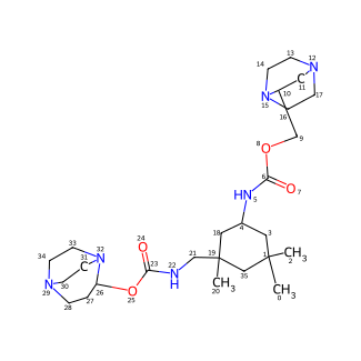 CC1(C)CC(NC(=O)OCC2CN3CCN2CC3)CC(C)(CNC(=O)OC2CCN3CCN2CC3)C1